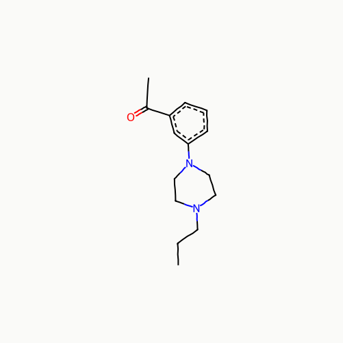 CCCN1CCN(c2cccc(C(C)=O)c2)CC1